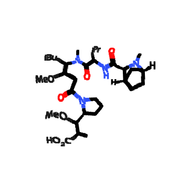 CCC(C)C(C(CC(=O)N1CCC[C@H]1C(OC)C(C)C(=O)O)OC)N(C)C(=O)C(NC(=O)[C@@H]1[C@H]2CC[C@H](C2)N1C)C(C)C